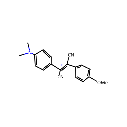 COc1ccc(/C(C#N)=C(\C#N)c2ccc(N(C)C)cc2)cc1